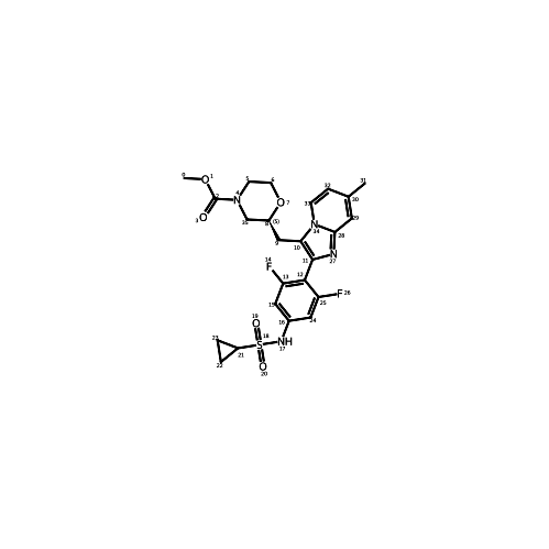 COC(=O)N1CCO[C@@H](Cc2c(-c3c(F)cc(NS(=O)(=O)C4CC4)cc3F)nc3cc(C)ccn23)C1